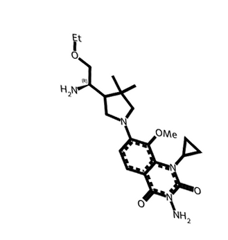 CCOC[C@H](N)C1CN(c2ccc3c(=O)n(N)c(=O)n(C4CC4)c3c2OC)CC1(C)C